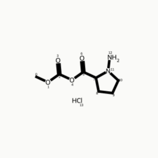 COC(=O)OC(=O)C1CCCN1N.Cl